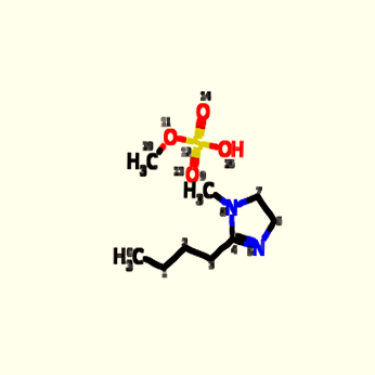 CCCCC1=NCCN1C.COS(=O)(=O)O